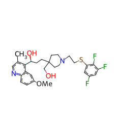 COc1ccc2ncc(C)c([C@@H](O)CCC3(CO)CCN(CCSc4cc(F)cc(F)c4F)CC3)c2c1